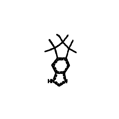 CC1(C)c2cc3nc[nH]c3cc2C(C)(C)C1(C)C